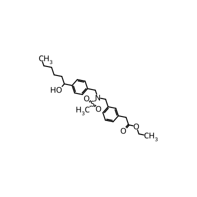 CCCCCC(O)c1ccc(CN(Cc2cccc(CC(=O)OCC)c2)S(C)(=O)=O)cc1